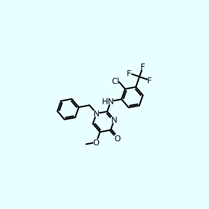 COc1cn(Cc2ccccc2)c(Nc2cccc(C(F)(F)F)c2Cl)nc1=O